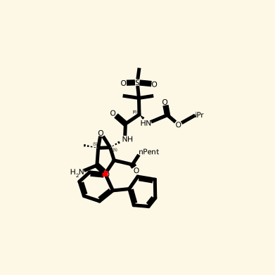 CCCCCC(=O)[C](c1ccccc1-c1ccccc1)[C@]1(NC(=O)[C@@H](NC(=O)OC(C)C)C(C)(C)S(C)(=O)=O)O[C@]1(C)C(N)=O